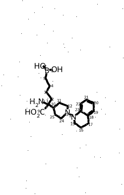 NC(CCCCB(O)O)(C(=O)O)C1CCN(N2CCCc3ccccc32)CC1